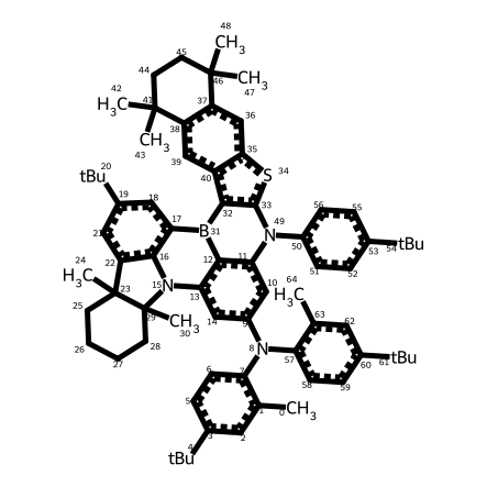 Cc1cc(C(C)(C)C)ccc1N(c1cc2c3c(c1)N1c4c(cc(C(C)(C)C)cc4C4(C)CCCCC14C)B3c1c(sc3cc4c(cc13)C(C)(C)CCC4(C)C)N2c1ccc(C(C)(C)C)cc1)c1ccc(C(C)(C)C)cc1C